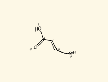 O=C(O)C=[CH][SnH]